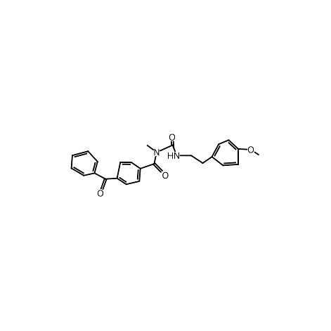 COc1ccc(CCNC(=O)N(C)C(=O)c2ccc(C(=O)c3ccccc3)cc2)cc1